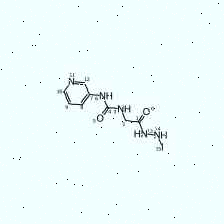 O=C(CNC(=O)Nc1cccnc1)NNI